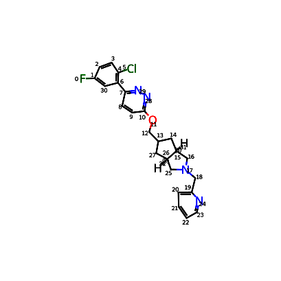 Fc1ccc(Cl)c(-c2ccc(OCC3C[C@@H]4CN(Cc5ccccn5)C[C@@H]4C3)nn2)c1